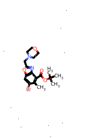 Cc1c(Br)cc2oc(CN3CCOCC3)nc2c1C(=O)OC(C)(C)C